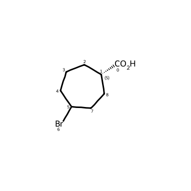 O=C(O)[C@H]1CCCC(Br)CC1